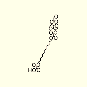 O=CC(=O)O[C@@H]1COC2C1OC[C@H]2OC(=O)C(=O)OCCCCCCCCCCCCOC(=O)C(=O)O